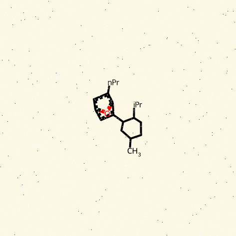 CCCc1cc2cc(C3CC(C)CCC3C(C)C)c1o2